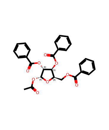 CC(=O)O[C@H]1O[C@H](COC(=O)c2ccccc2)[C@H](OC(=O)c2ccccc2)[C@H]1OC(=O)c1ccccc1